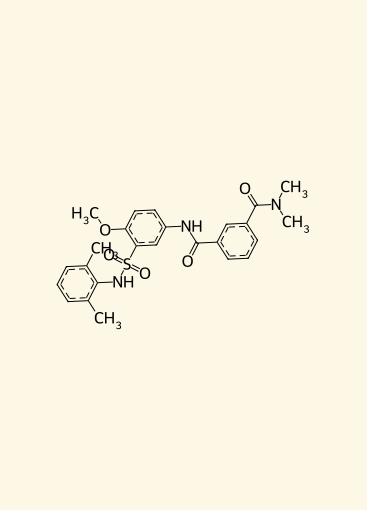 COc1ccc(NC(=O)c2cccc(C(=O)N(C)C)c2)cc1S(=O)(=O)Nc1c(C)cccc1C